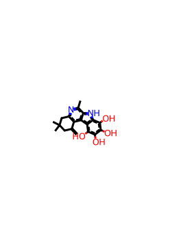 C=C1CC(C)(C)Cc2nc(C)c3[nH]c4c(O)c(O)c(O)c(O)c4c3c21